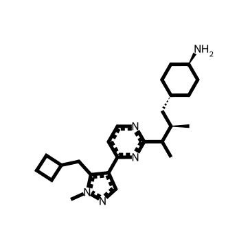 CC(c1nccc(-c2cnn(C)c2CC2CCC2)n1)[C@H](C)C[C@H]1CC[C@H](N)CC1